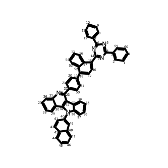 c1ccc(-c2nc(-c3ccccc3)nc(-c3ccc(-c4ccc(-c5nc6ccccc6c6c5c5ccccc5n6-c5ccc6ccccc6c5)cc4)c4ccccc34)n2)cc1